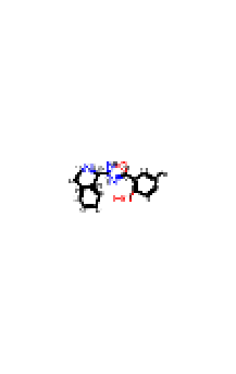 Cc1ccc(O)c(-c2nc(-c3nccc4ccccc34)no2)c1